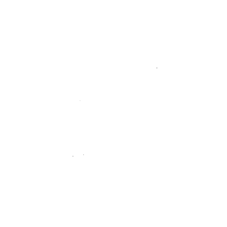 CC1Nc2cc([N+](=O)[O-])ccc2OC1CC(C)(C)C#N